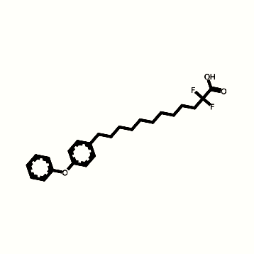 O=C(O)C(F)(F)CCCCCCCCCCc1ccc(Oc2ccccc2)cc1